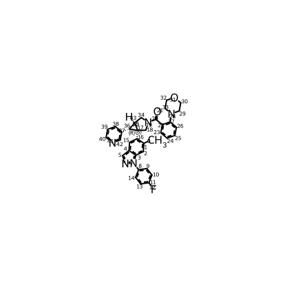 Cc1cc2c(cnn2-c2ccc(F)cc2)cc1[C@@]12CN(C(=O)c3ccccc3N3CCOCC3)C[C@@H]1[C@H]2c1cccnc1